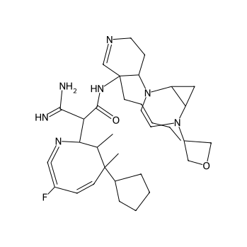 CCCCCC1(NC(=O)C(C(=N)N)C2N=C=C(F)/C=C\C(C)(C3CCCC3)C2C)C=NCCC1N1CCN(C2COC2)C2CC21